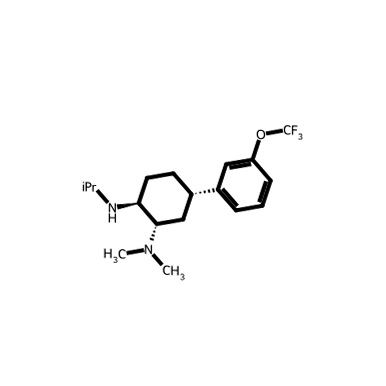 CC(C)N[C@H]1CC[C@H](c2cccc(OC(F)(F)F)c2)C[C@@H]1N(C)C